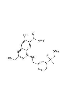 CNC(=O)c1cc2c(NCc3cccc(C(F)(F)COC)c3)nc(CO)nc2cc1O